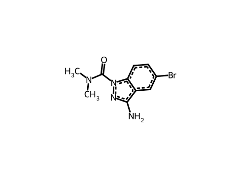 CN(C)C(=O)n1nc(N)c2cc(Br)ccc21